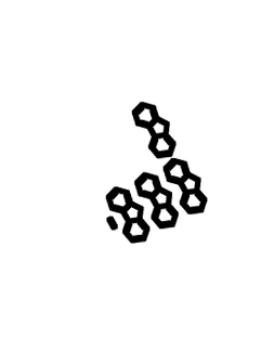 C=C.c1ccc2c(c1)Cc1ccccc1-2.c1ccc2c(c1)Cc1ccccc1-2.c1ccc2c(c1)Cc1ccccc1-2.c1ccc2c(c1)Cc1ccccc1-2